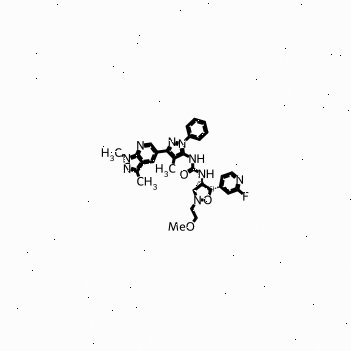 COCCN1C[C@@H](NC(=O)Nc2c(C)c(-c3cnc4c(c3)c(C)nn4C)nn2-c2ccccc2)[C@H](c2ccnc(F)c2)O1